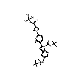 [3H]C([3H])([3H])OC(=O)C1CN(c2ccc(-c3cc4cc(O[Si](C)(C)C(C)(C)C)ccc4n3C(=O)OC(C)(C)C)c(F)n2)C1